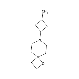 CC1CC(N2CCC3(CCO3)CC2)C1